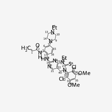 C=CC(=O)Nc1cc(N2CCN(CC)CC2)ccc1Nc1ncc2c(n1)N(CC)C(=S)N(c1c(Cl)c(OC)cc(OC)c1Cl)C2